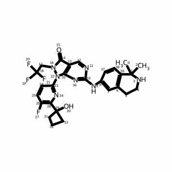 CC1(C)NCCc2cc(Nc3ncc4c(=O)n(CC(F)(F)F)n(-c5ccc(F)c(C6(O)CCC6)n5)c4n3)ccc21